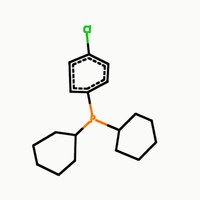 Clc1ccc(P(C2CCCCC2)C2CCCCC2)cc1